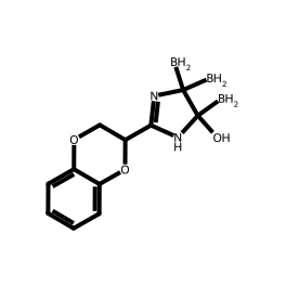 BC1(B)N=C(C2COc3ccccc3O2)NC1(B)O